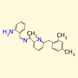 C=C(/N=C\c1ccccc1N)c1cccc(Cc2ccc(C)cc2C)n1